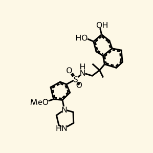 COc1ccc(S(=O)(=O)NCC(C)(C)c2cccc3cc(O)c(O)cc23)cc1N1CCNCC1